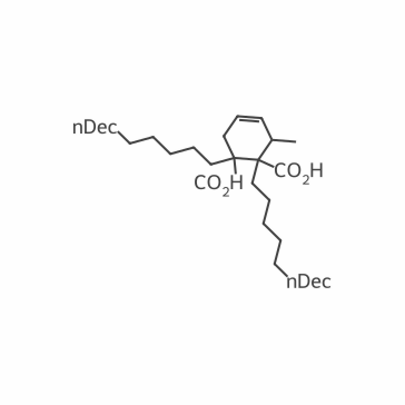 CCCCCCCCCCCCCCCC1(C(=O)O)CC=CC(C)C1(CCCCCCCCCCCCCCC)C(=O)O